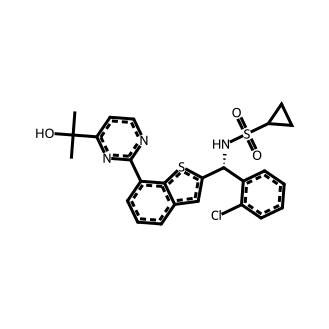 CC(C)(O)c1ccnc(-c2cccc3cc([C@H](NS(=O)(=O)C4CC4)c4ccccc4Cl)sc23)n1